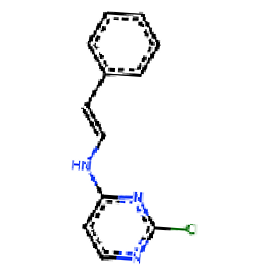 Clc1nccc(NC=Cc2ccccc2)n1